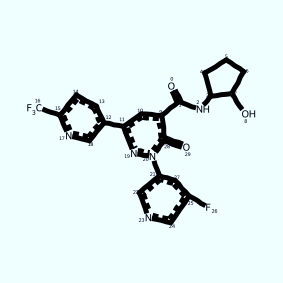 O=C(NC1CCCC1O)c1cc(-c2ccc(C(F)(F)F)nc2)nn(-c2cncc(F)c2)c1=O